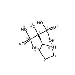 O=P(O)(O)C(O)([C@@H]1CCCN1)P(=O)(O)O